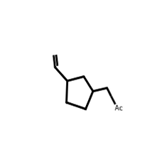 C=CC1CCC(CC(C)=O)C1